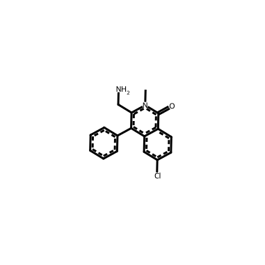 Cn1c(CN)c(-c2ccccc2)c2cc(Cl)ccc2c1=O